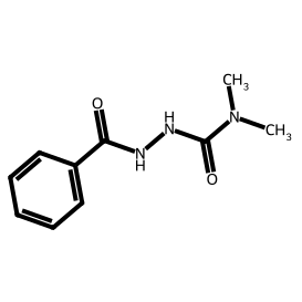 CN(C)C(=O)NNC(=O)c1ccccc1